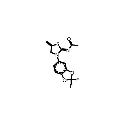 C=C1CN(c2ccc3c(c2)OC(F)(F)O3)C(=NC(C)=O)S1